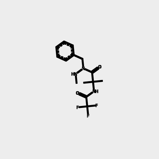 CNN(Cc1ccccc1)C(=O)C(C)(C)NC(=O)C(F)(F)F